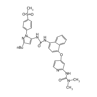 CCCCc1cc(NC(=O)Nc2ccc(Oc3ccnc(NC(=O)N(C)C)c3)c3ccccc23)n(-c2ccc(S(C)(=O)=O)cc2)n1